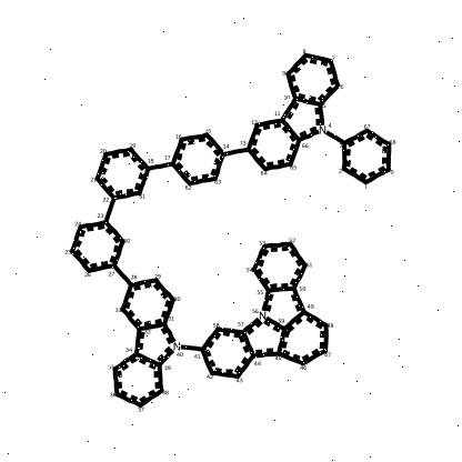 c1ccc(-n2c3ccccc3c3cc(-c4ccc(-c5cccc(-c6cccc(-c7ccc8c(c7)c7ccccc7n8-c7ccc8c9cccc%10c%11ccccc%11n(c8c7)c%109)c6)c5)cc4)ccc32)cc1